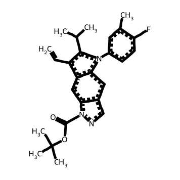 C=Cc1c(C(C)C)n(-c2ccc(F)c(C)c2)c2cc3cnn(C(=O)OC(C)(C)C)c3cc12